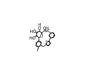 N#Cc1cccc(-c2ccc(Cc3cc(C4O[C@H](CO)[C@@H](O)[C@H](O)[C@H]4O)ccc3F)s2)c1